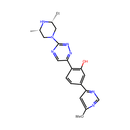 CC[C@@H]1CN(c2ncc(-c3ccc(-c4cc(OC)ncn4)cc3O)nn2)C[C@H](C)N1